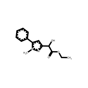 CCOC(=O)C(O)c1cc(-c2ccccc2)n(C)n1